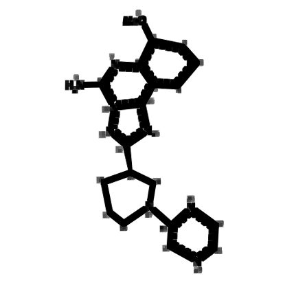 COc1cccc2c1nc(N)n1nc([C@@H]3CCCN(c4cnccn4)C3)nc21